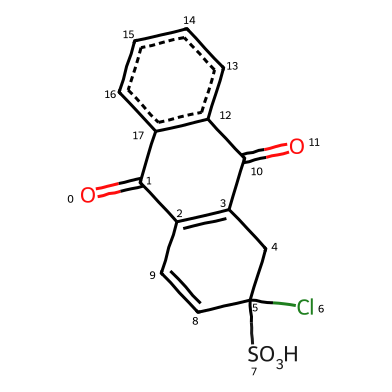 O=C1C2=C(CC(Cl)(S(=O)(=O)O)C=C2)C(=O)c2ccccc21